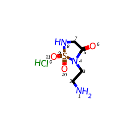 Cl.NCCN1C(=O)CNS1(=O)=O